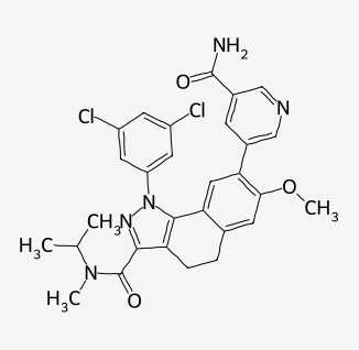 COc1cc2c(cc1-c1cncc(C(N)=O)c1)-c1c(c(C(=O)N(C)C(C)C)nn1-c1cc(Cl)cc(Cl)c1)CC2